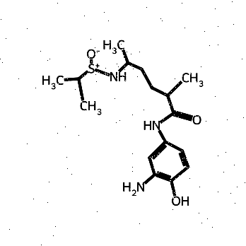 CC(CCC(C)C(=O)Nc1ccc(O)c(N)c1)N[S+]([O-])C(C)C